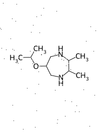 CC(C)OC1CNC(C)C(C)NC1